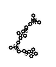 c1ccc(-c2nc(-c3ccccc3)nc(-c3ccc(-c4ccc5c(c4)oc4cc(C6(c7ccccc7)c7ccccc7-c7cc(-c8ccc(-c9nc(-c%10ccccc%10)nc(-c%10cccc(-c%11ccc%12c(c%11)oc%11cc(C%13(c%14ccccc%14)c%14ccccc%14-c%14ccccc%14%13)ccc%11%12)c%10)n9)cc8)ccc76)ccc45)cc3)n2)cc1